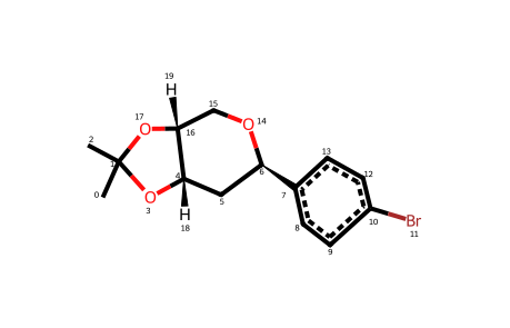 CC1(C)O[C@H]2C[C@H](c3ccc(Br)cc3)OC[C@H]2O1